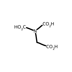 O=C(O)CN(C(=O)O)C(=O)O